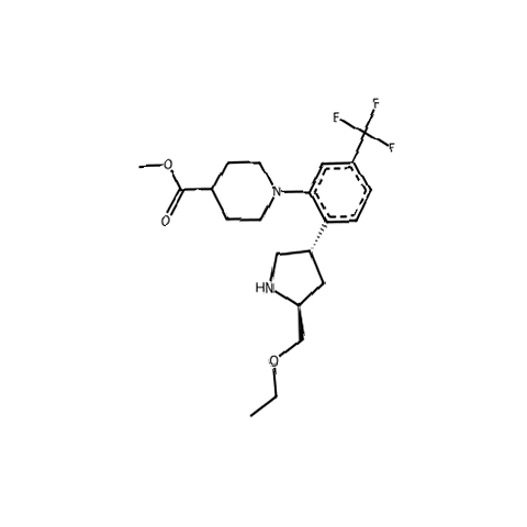 CCOC[C@@H]1C[C@@H](c2ccc(C(F)(F)F)cc2N2CCC(C(=O)OC)CC2)CN1